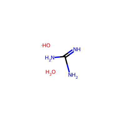 N=C(N)N.O.[OH]